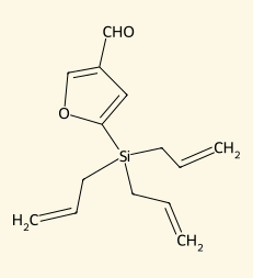 C=CC[Si](CC=C)(CC=C)c1cc(C=O)co1